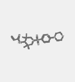 C=CC(=O)NC1C(C)(C)CN(S(=O)(=O)c2ccc(N3CCOCC3)nc2)CC1(C)C